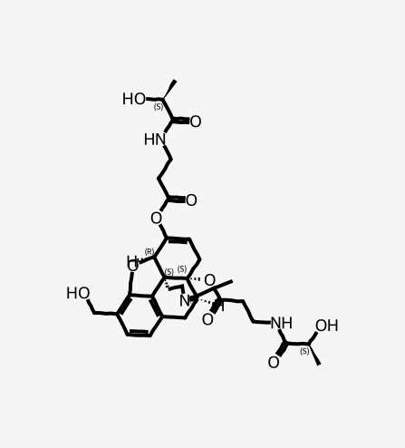 C[C@H](O)C(=O)NCCC(=O)OC1=CC[C@@]2(OC(=O)CCNC(=O)[C@H](C)O)[C@H]3Cc4ccc(CO)c5c4[C@@]2(CCN3C)[C@H]1O5